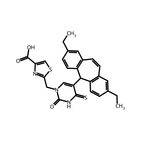 CCc1ccc2c(c1)C=Cc1cc(CC)ccc1C2c1cn(Cc2nc(C(=O)O)cs2)c(=O)[nH]c1=S